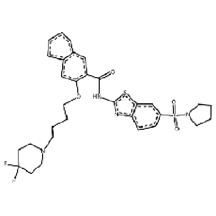 O=C(Nc1nc2ccc(S(=O)(=O)N3CCCC3)cc2s1)c1cc2ccccc2cc1OCCCCN1CCC(F)(F)CC1